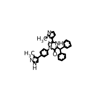 Cc1n[nH]cc1-c1ccc(NC(=O)[C@@H](NC(=O)c2ccnn2C)C(c2ccccc2)c2ccccc2)cc1